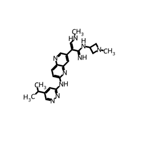 CN/C=C(\C(=N)NC1CN(C)C1)c1cnc2ccc(Nc3cc(C(C)C)cnn3)nc2c1